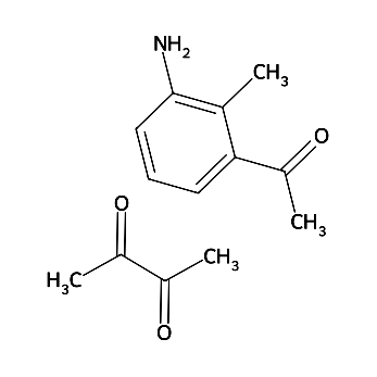 CC(=O)C(C)=O.CC(=O)c1cccc(N)c1C